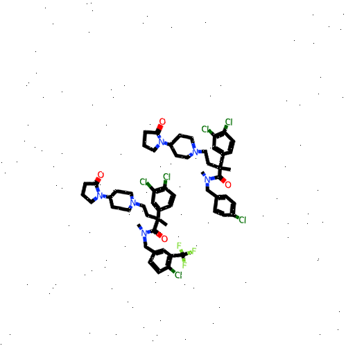 CN(Cc1ccc(Cl)c(C(F)(F)F)c1)C(=O)C(C)(CCN1CCC(N2CCCC2=O)CC1)c1ccc(Cl)c(Cl)c1.CN(Cc1ccc(Cl)cc1)C(=O)C(C)(CCN1CCC(N2CCCC2=O)CC1)c1ccc(Cl)c(Cl)c1